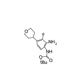 CC(C)(C)OC(=O)Nc1ccc(C2CCOCC2)c(F)c1N